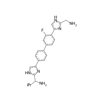 CC(C)C(N)c1nc(-c2ccc(-c3ccc(-c4c[nH]c(CN)n4)c(F)c3)cc2)c[nH]1